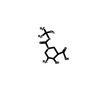 CC1CN(C(=O)OC(C)(C)C)CC(C(=O)O)C1O